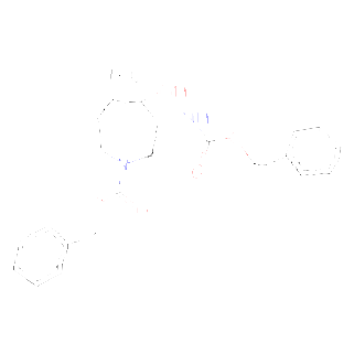 C[C@@]1(O)CCCN(C(=O)OCc2ccccc2)C[C@H]1NC(=O)OCc1ccccc1